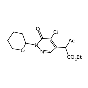 CCOC(=O)C(C(C)=O)c1cnn(C2CCCCO2)c(=O)c1Cl